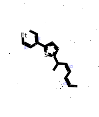 C/C=C\C=C/C(C)c1ccc(C(/C=C\CC)=C/C)s1